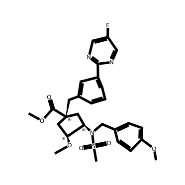 COC(=O)[C@@]1(Cc2cccc(-c3ncc(F)cn3)c2)C[C@H](OC)[C@H](N(Cc2ccc(OC)cc2)S(C)(=O)=O)C1